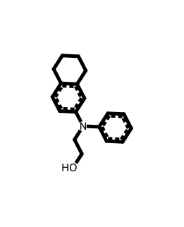 OCCN(c1ccccc1)c1ccc2c(c1)CCCC2